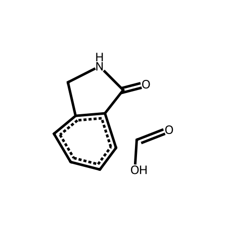 O=C1NCc2ccccc21.O=CO